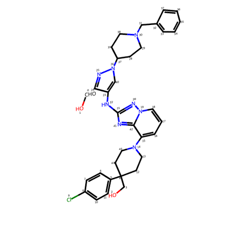 O=CO.OCC1(c2ccc(Cl)cc2)CCN(c2cccn3nc(Nc4cnn(C5CCN(Cc6ccccc6)CC5)c4)nc23)CC1